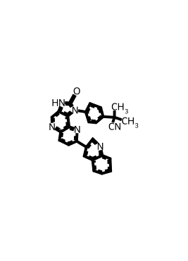 CC(C)(C#N)c1ccc(-n2c(=O)[nH]c3cnc4ccc(-c5cnc6ccccc6c5)nc4c32)cc1